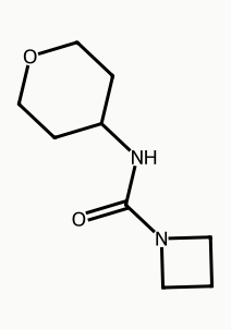 O=C(NC1CCOCC1)N1CCC1